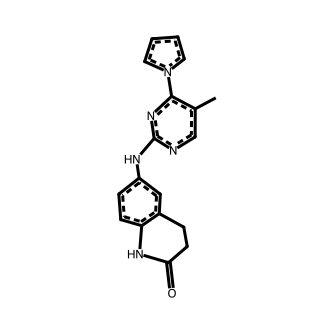 Cc1cnc(Nc2ccc3c(c2)CCC(=O)N3)nc1-n1cccc1